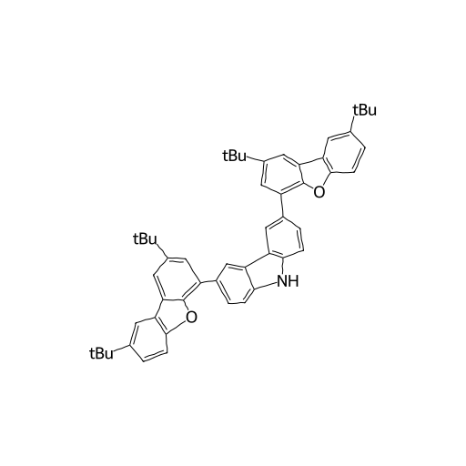 CC(C)(C)c1ccc2oc3c(-c4ccc5[nH]c6ccc(-c7cc(C(C)(C)C)cc8c7oc7ccc(C(C)(C)C)cc78)cc6c5c4)cc(C(C)(C)C)cc3c2c1